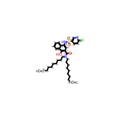 CCCCCCCCCCCCCCCCCCN(CCCCCCCCCCCCCCCCCC)C(=O)c1cc(NS(=O)(=O)c2ccc(Cl)nc2)c2ccccc2c1O